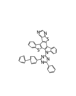 c1ccc(-c2ccc(-c3nc(-c4ccccc4)nc(-n4c5ccccc5c5c6sc7ncncc7c6c6c7ccccc7sc6c54)n3)cc2)cc1